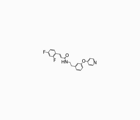 O=C(C=Cc1ccc(F)cc1F)NCCc1cccc(Oc2ccncc2)c1